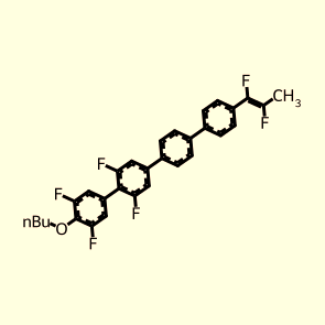 CCCCOc1c(F)cc(-c2c(F)cc(-c3ccc(-c4ccc(/C(F)=C(/C)F)cc4)cc3)cc2F)cc1F